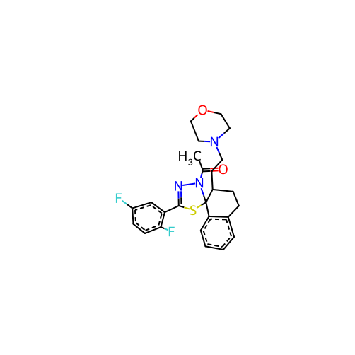 CC(=O)N1N=C(c2cc(F)ccc2F)SC12c1ccccc1CCC2CCN1CCOCC1